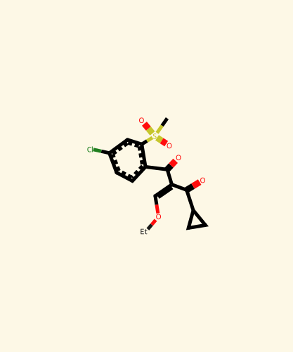 CCOC=C(C(=O)c1ccc(Cl)cc1S(C)(=O)=O)C(=O)C1CC1